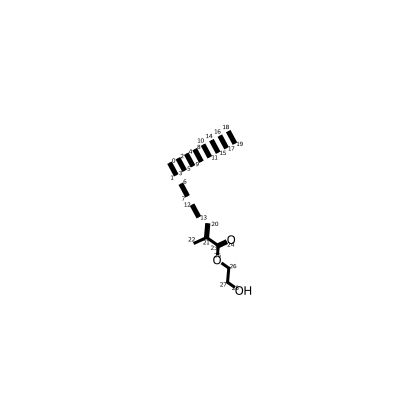 C=C.C=C.C=C.C=C.C=C.C=C.C=C.C=C.C=C.C=C.C=C(C)C(=O)OCCO